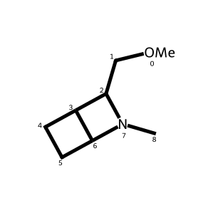 COCC1C2CCC2N1C